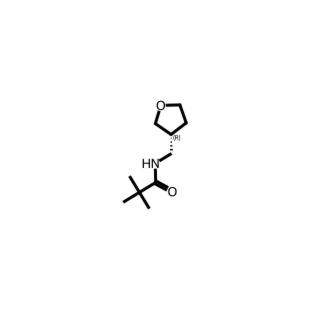 CC(C)(C)C(=O)NC[C@H]1CCOC1